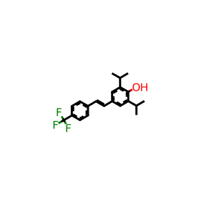 CC(C)c1cc(C=Cc2ccc(C(F)(F)F)cc2)cc(C(C)C)c1O